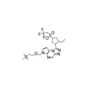 CCC1CC(S(=O)(=O)CC(F)(F)F)CC1c1nnc2cnc3c(ccn3COCC[Si](C)(C)C)n12